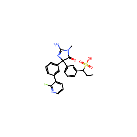 CCC(c1cccc(C2(c3cccc(-c4cccnc4F)c3)N=C(N)N(C)C2=O)c1)S(=O)(=O)O